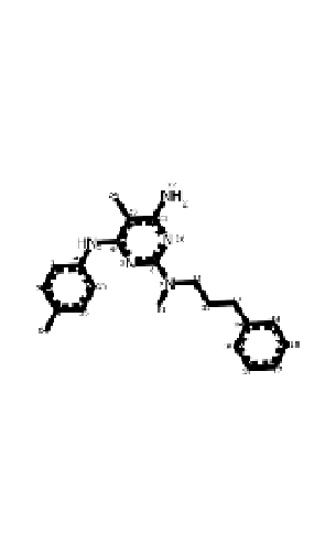 Cc1ccc(Nc2nc(N(C)CCCc3ccccc3)nc(N)c2C)cc1